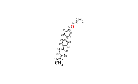 C=CCOCc1ccc(-c2ccc(C3CCC(C=CC)CC3)cc2)cc1